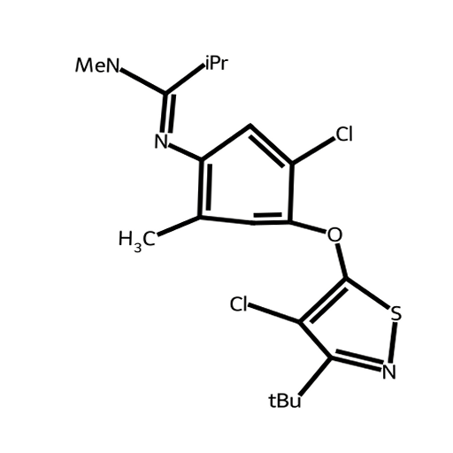 CNC(=Nc1cc(Cl)c(Oc2snc(C(C)(C)C)c2Cl)cc1C)C(C)C